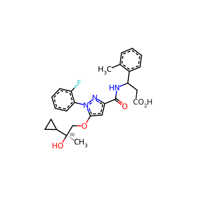 Cc1ccccc1C(CC(=O)O)NC(=O)c1cc(OC[C@@](C)(O)C2CC2)n(-c2ccccc2F)n1